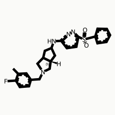 Cc1cc(CN2CC3CC(Nc4ccc(S(=O)(=O)c5ccccc5)nn4)C[C@@H]3C2)ccc1F